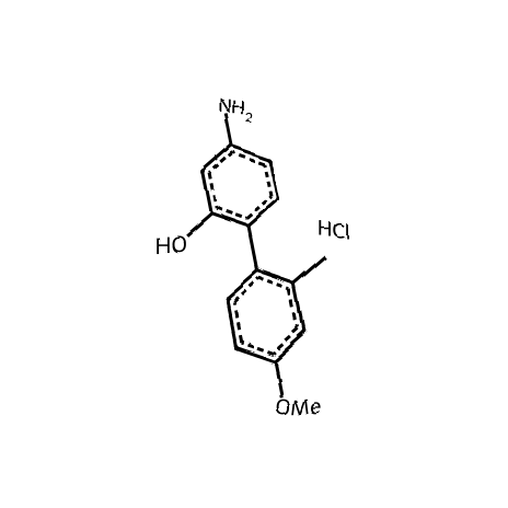 COc1ccc(-c2ccc(N)cc2O)c(C)c1.Cl